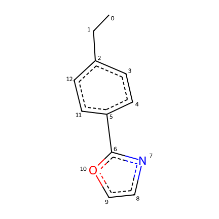 CCc1ccc(-c2ncco2)cc1